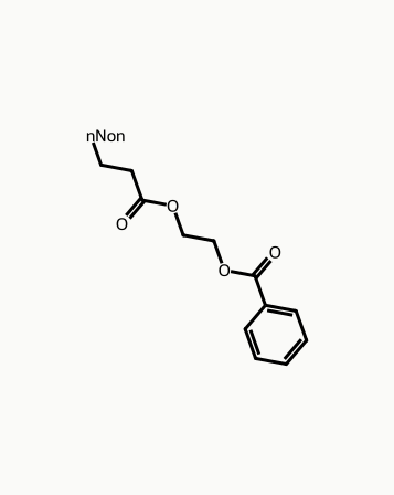 CCCCCCCCCCCC(=O)OCCOC(=O)c1ccccc1